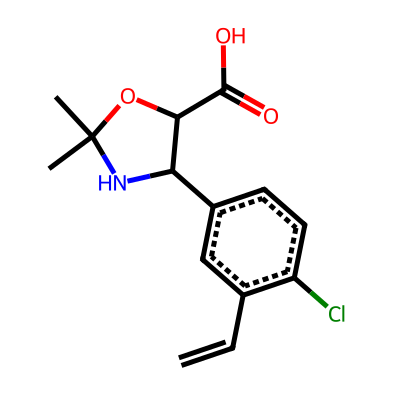 C=Cc1cc(C2NC(C)(C)OC2C(=O)O)ccc1Cl